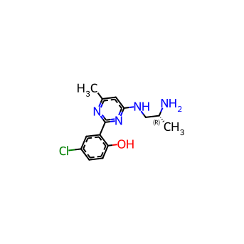 Cc1cc(NC[C@@H](C)N)nc(-c2cc(Cl)ccc2O)n1